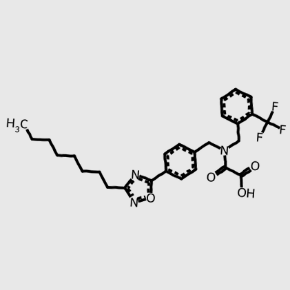 CCCCCCCCc1noc(-c2ccc(CN(Cc3ccccc3C(F)(F)F)C(=O)C(=O)O)cc2)n1